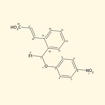 CCC(Oc1ccc([N+](=O)[O-])cc1)c1ccccc1C=CC(=O)O